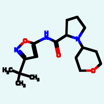 CC(C)(C)c1cc(NC(=O)C2CCCN2C2CCOCC2)on1